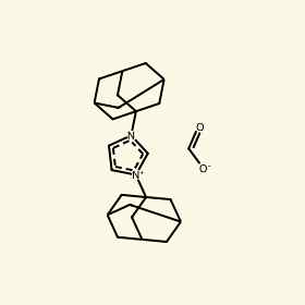 O=C[O-].c1c[n+](C23CC4CC(CC(C4)C2)C3)cn1C12CC3CC(CC(C3)C1)C2